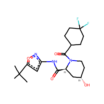 CC(C)(C)c1cc(NC(=O)[C@@H]2C[C@@H](O)CCN2C(=O)C2CCC(F)(F)CC2)no1